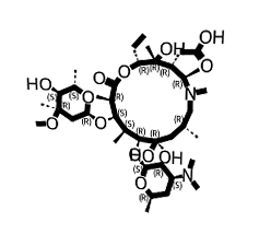 CC[C@H]1OC(=O)[C@H](C)[C@@H](O[C@H]2C[C@@](C)(OC)[C@@H](O)[C@H](C)O2)[C@H](C)[C@@H](O[C@@H]2O[C@H](C)C[C@H](N(C)C)[C@H]2O)[C@](C)(O)C[C@@H](C)CN(C)[C@H](C)[C@@H](CC(=O)O)[C@@]1(C)O